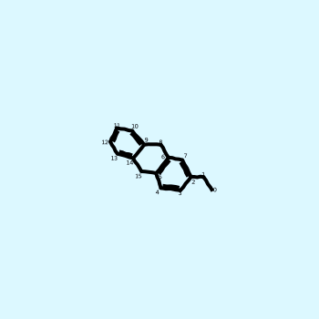 CCc1ccc2c(c1)Cc1ccccc1C2